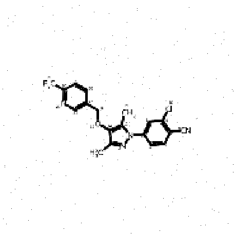 Cc1nn(-c2ccc(C#N)c(Cl)c2)c(C)c1OCc1ccc(C(F)(F)F)nc1